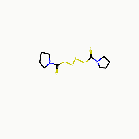 S=C(SSSSC(=S)N1CCCC1)N1CCCC1